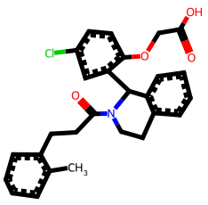 Cc1ccccc1CCC(=O)N1CCc2ccccc2C1c1cc(Cl)ccc1OCC(=O)O